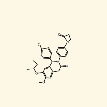 CC[C@@H](C)Oc1cc2c(cc1OC)CC(=O)N(c1ccc(N3CCC3=O)cc1)C2c1ccc(Cl)cc1